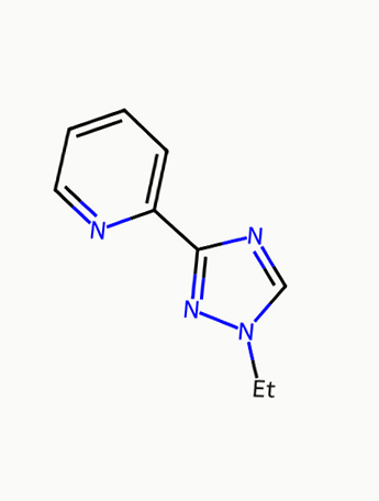 CCn1cnc(-c2ccccn2)n1